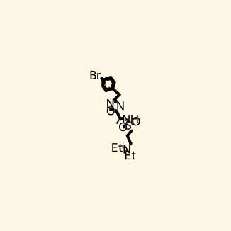 CCN(CC)CCCS(=O)(=O)N[C@@H](C)c1nc(Cc2ccc(Br)cc2)no1